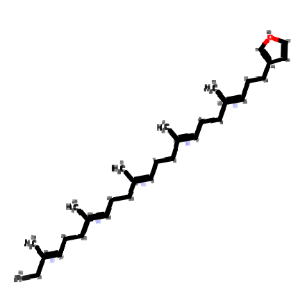 C/C(=C\CC/C(C)=C/CC/C(C)=C/CCc1ccoc1)CC/C=C(\C)CC/C=C(\C)CC(C)C